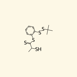 CC(S)C(=S)Sc1ccccc1SSC(C)(C)C